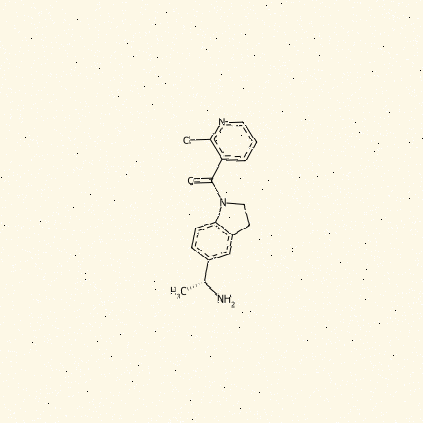 C[C@@H](N)c1ccc2c(c1)CCN2C(=O)c1cccnc1Cl